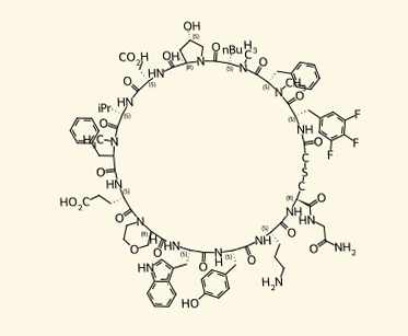 CCCC[C@H]1C(=O)N2C[C@@H](O)C[C@@H]2C(=O)N[C@@H](CC(=O)O)C(=O)N[C@@H](C(C)C)C(=O)N(C)C(Cc2ccccc2)C(=O)N[C@@H](CCC(=O)O)C(=O)N2CCOC[C@@H]2C(=O)N[C@@H](Cc2c[nH]c3ccccc23)C(=O)N[C@@H](Cc2ccc(O)cc2)C(=O)N[C@@H](CCCN)C(=O)N[C@H](C(=O)NCC(N)=O)CSCC(=O)N[C@@H](Cc2cc(F)c(F)c(F)c2)C(=O)N(C)[C@@H](Cc2ccccc2)C(=O)N1C